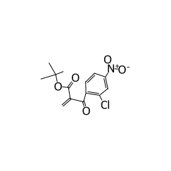 C=C(C(=O)OC(C)(C)C)C(=O)c1ccc([N+](=O)[O-])cc1Cl